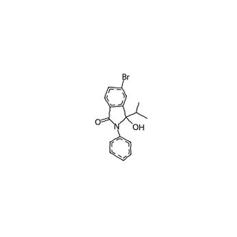 CC(C)C1(O)c2cc(Br)ccc2C(=O)N1c1ccccc1